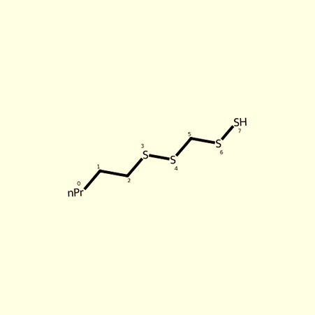 CCCCCSSCSS